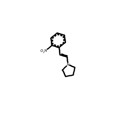 O=[N+]([O-])c1ccccc1C=CN1CCCC1